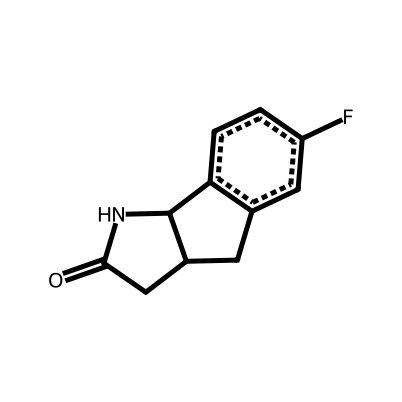 O=C1CC2Cc3cc(F)ccc3C2N1